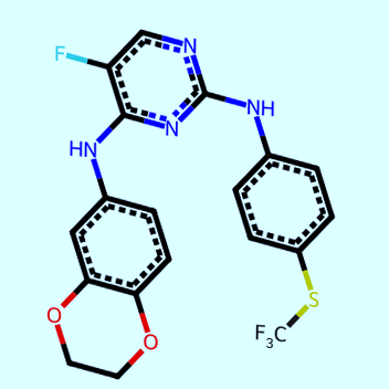 Fc1cnc(Nc2ccc(SC(F)(F)F)cc2)nc1Nc1ccc2c(c1)OCCO2